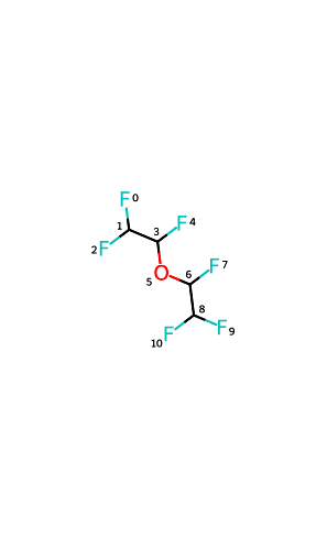 FC(F)C(F)OC(F)C(F)F